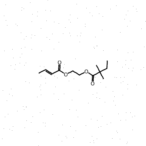 C/C=C/C(=O)OCCOC(=O)C(C)(C)CC